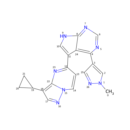 Cn1cc(-c2ncnc3[nH]cc(-c4ccn5ncc(C6CC6)c5n4)c23)cn1